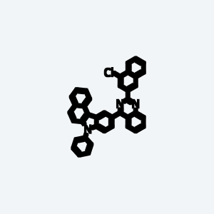 Clc1cc(-c2nc(-c3ccc4c(c3)c3c5ccccc5ccc3n4-c3ccccc3)c3ccccc3n2)cc2ccccc12